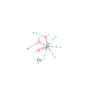 [Cu].[O]=[Zr]([F])([F])([F])([F])([O]F)[O]F